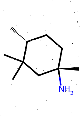 C[C@@H]1CC[C@](C)(N)CC1(C)C